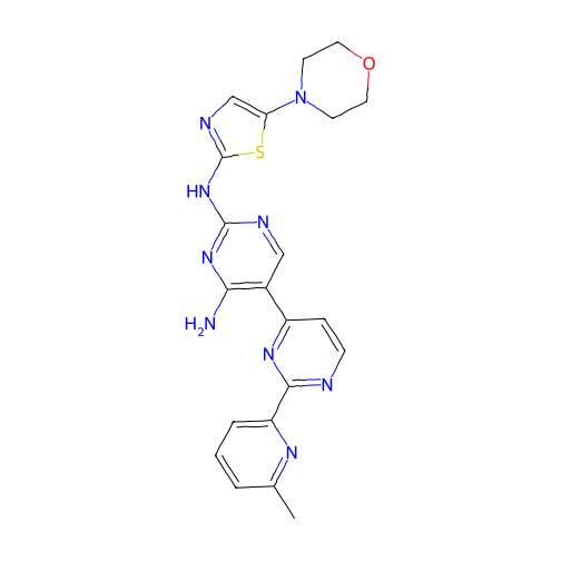 Cc1cccc(-c2nccc(-c3cnc(Nc4ncc(N5CCOCC5)s4)nc3N)n2)n1